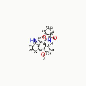 COc1ccc(CN2C(=O)c3ccccc3OC2Cc2c[nH]c3ccccc23)cc1